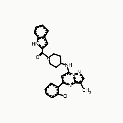 Cc1cnn2c(NC3CCN(C(=O)c4cc5ccccc5[nH]4)CC3)cc(-c3ccccc3Cl)nc12